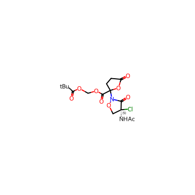 CC(=O)N[C@]1(Cl)CON(C2(C(=O)OCOC(=O)C(C)(C)C)CCC(=O)O2)C1=O